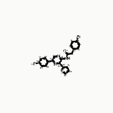 O=C(Cc1ccc(Br)cc1)Nc1ncc(-c2ccc(F)cc2)nc1-c1cccs1